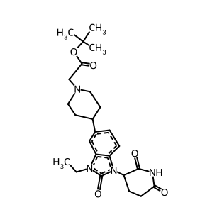 CCn1c(=O)n(C2CCC(=O)NC2=O)c2ccc(C3CCN(CC(=O)OC(C)(C)C)CC3)cc21